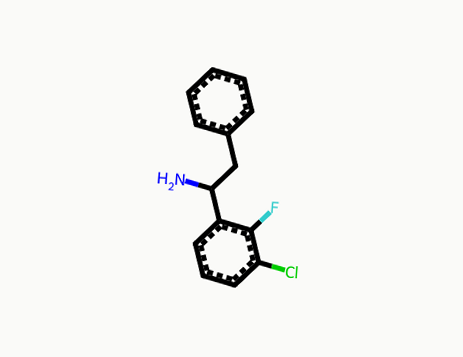 NC(Cc1ccccc1)c1cccc(Cl)c1F